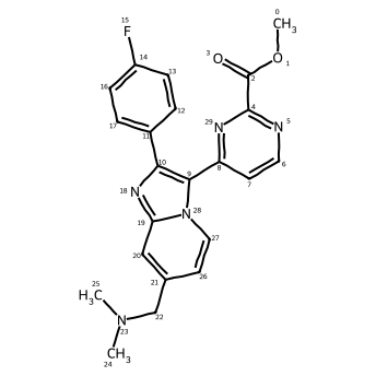 COC(=O)c1nccc(-c2c(-c3ccc(F)cc3)nc3cc(CN(C)C)ccn23)n1